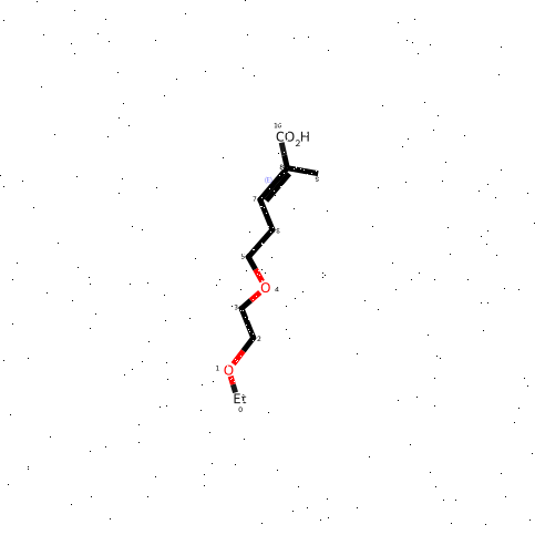 CCOCCOCC/C=C(\C)C(=O)O